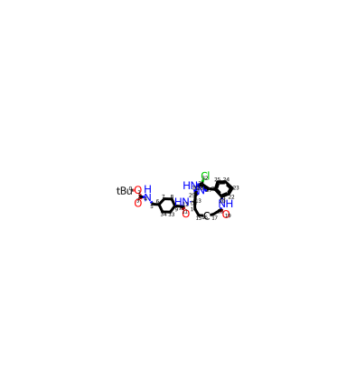 CC(C)(C)OC(=O)NCC1CCC(C(=O)N[C@H]2CCCCC(=O)Nc3ccccc3-c3nc2[nH]c3Cl)CC1